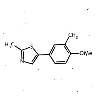 COc1ccc(-c2cnc(C)s2)cc1C